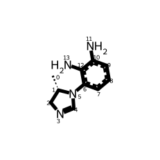 C[C@H]1CN=CN1c1cccc(N)c1N